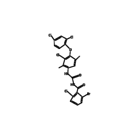 Cc1cc(NC(=O)NC(=O)c2c(Cl)cccc2Br)c(C)c(Cl)c1Oc1ccc(Cl)cc1Cl